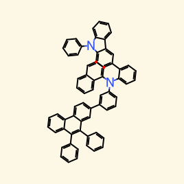 c1ccc(-c2c(-c3ccccc3)c3cc(-c4cccc(N(c5ccccc5-c5ccc6c(c5)c5ccccc5n6-c5ccccc5)c5cccc6ccccc56)c4)ccc3c3ccccc23)cc1